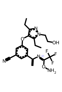 C=C(/N=C(\ON)C(F)(F)F)c1cc(C#N)cc(Oc2c(CC)nn(CCO)c2CC)c1